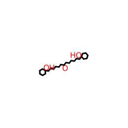 O=C(CCCCCCC1(O)CCCCC1)CCCCCCC1(O)CCCCC1